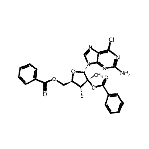 C[C@]1(OC(=O)c2ccccc2)[C@H](F)[C@@H](COC(=O)c2ccccc2)O[C@@H]1n1cnc2c(Cl)nc(N)nc21